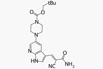 CC(C)(C)COC(=O)N1CCN(c2cnc3[nH]cc(/C=C(\C#N)C(N)=O)c3c2)CC1